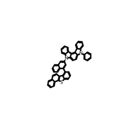 c1ccc(-n2c3ccccc3c3c4c5ccccc5n(-c5cc(-c6cccc7sc8c9ccccc9ccc8c67)c6ccccc6c5)c4ccc32)cc1